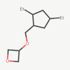 CCC1CC(CC)C(COC2COC2)C1